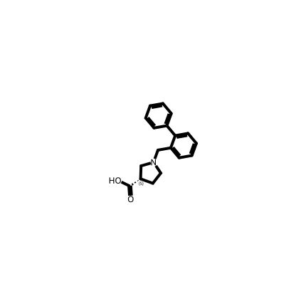 O=C(O)[C@H]1CCN(Cc2ccccc2-c2ccccc2)C1